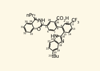 CCC[C@@H](NC(=O)c1ccc(-c2cc(C(F)(F)F)ccc2-c2nc3cc(C(C)(C)C)ccc3[nH]2)c(C(=O)O)c1)c1ccccc1